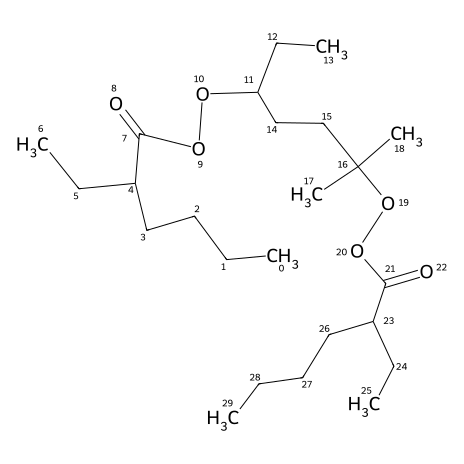 CCCCC(CC)C(=O)OOC(CC)CCC(C)(C)OOC(=O)C(CC)CCCC